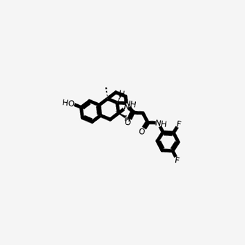 CN1CC[C@]2(C)c3cc(O)ccc3C[C@@H]1[C@@H]2NC(=O)CC(=O)Nc1ccc(F)cc1F